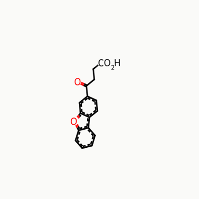 O=C(O)CCC(=O)c1ccc2c(c1)oc1ccccc12